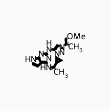 COC[C@@H](C)n1cc(Nc2nc(N[C@H](C)C3CC3)c3cc[nH]c3n2)nn1